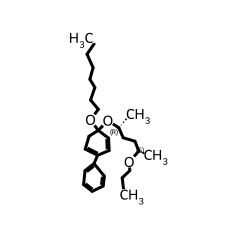 CCCCCCCCOC1(O[C@H](C)CC[C@H](C)OCCC)C=CC(c2ccccc2)=CC1